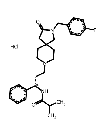 CC(C)C(=O)N[C@@H](CCN1CCC2(CC1)CC(=O)N(Cc1ccc(F)cc1)C2)c1ccccc1.Cl